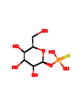 OCC1O[C@@H](OP(O)(O)=S)C(O)C(O)C1O